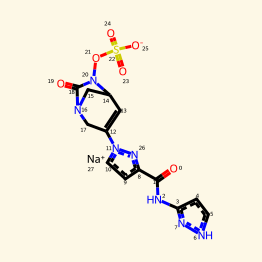 O=C(Nc1cc[nH]n1)c1ccn(C2=CC3CN(C2)C(=O)N3OS(=O)(=O)[O-])n1.[Na+]